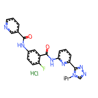 CC(C)n1cnnc1-c1cccc(NC(=O)c2cc(NC(=O)c3cccnc3)ccc2F)n1.Cl